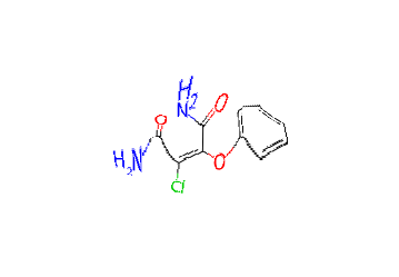 NC(=O)/C(Cl)=C(/Oc1ccccc1)C(N)=O